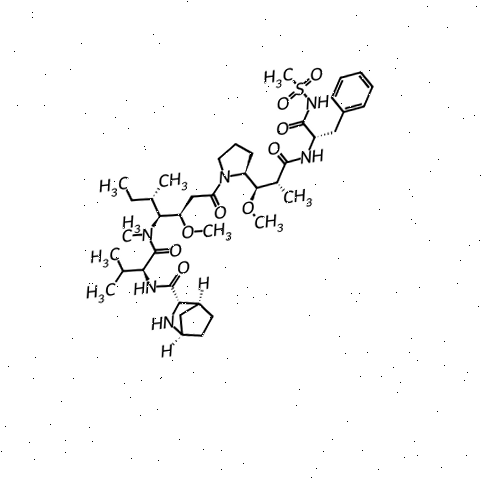 CC[C@H](C)[C@@H]([C@@H](CC(=O)N1CCC[C@H]1[C@H](OC)[C@@H](C)C(=O)N[C@@H](Cc1ccccc1)C(=O)NS(C)(=O)=O)OC)N(C)C(=O)[C@@H](NC(=O)[C@H]1N[C@@H]2CC[C@H]1C2)C(C)C